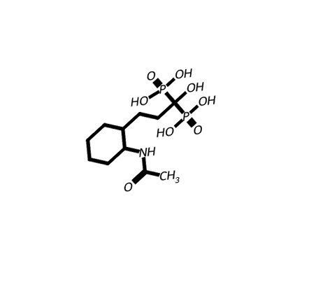 CC(=O)NC1CCCCC1CCC(O)(P(=O)(O)O)P(=O)(O)O